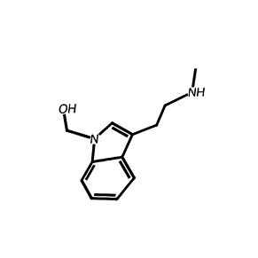 CNCCc1cn(CO)c2ccccc12